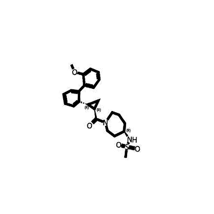 COc1ccccc1-c1ccccc1[C@@H]1C[C@H]1C(=O)N1CCC[C@@H](NS(C)(=O)=O)CC1